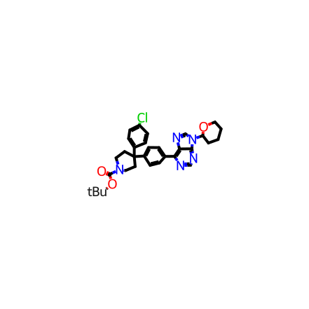 CC(C)(C)OC(=O)N1CCC(c2ccc(Cl)cc2)(c2ccc(-c3ncnc4c3ncn4C3CCCCO3)cc2)CC1